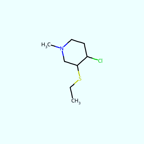 CCSC1CN(C)CCC1Cl